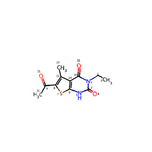 CCn1c(=O)[nH]c2sc(C(C)=O)c(C)c2c1=O